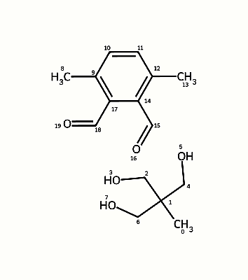 CC(CO)(CO)CO.Cc1ccc(C)c(C=O)c1C=O